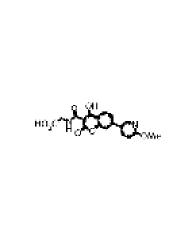 COc1ccc(-c2ccc3c(O)c(C(=O)NCC(=O)O)c(=O)oc3c2)cn1